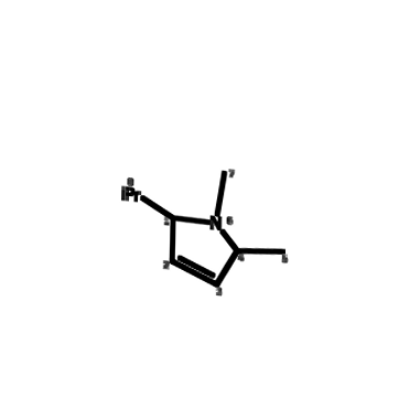 CC(C)C1C=CC(C)N1C